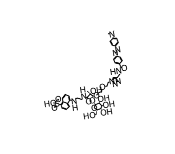 CN(C)c1ccc(/N=N/c2ccc(C(=O)NCc3cn(CCOCCO[C@H](O[C@@H]4O[C@H](CO)[C@@H](O)[C@H](O)[C@H]4O)[C@@](C)(O)C(=O)NCCNc4cccc5c(S(=O)(=O)O)cccc45)nn3)cc2)cc1